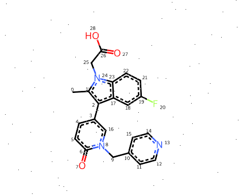 Cc1c(-c2ccc(=O)n(Cc3ccncc3)c2)c2cc(F)ccc2n1CC(=O)O